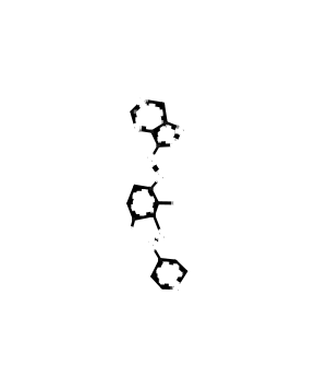 Oc1ccc(/N=N/c2snc3cncnc23)c(O)c1/N=N/c1ccncc1